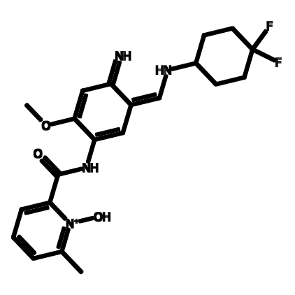 COC1=CC(=N)/C(=C\NC2CCC(F)(F)CC2)C=C1NC(=O)c1cccc(C)[n+]1O